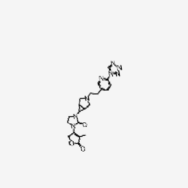 CC1=C(N2CCN(C3C4CN(CCc5ccc(-n6cnnn6)nc5)CC43)C2=O)COC1=O